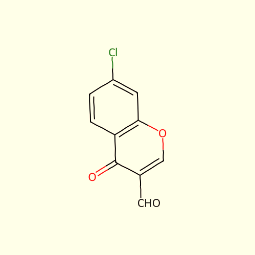 O=Cc1coc2cc(Cl)ccc2c1=O